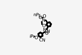 CCCOC(=O)N1CCOc2c(cccc2-c2noc(-c3ccc(OC(C)C)c(C#N)c3)n2)C1